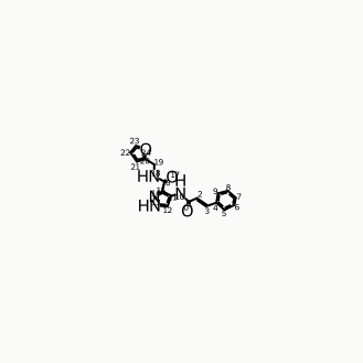 O=C(C=Cc1ccccc1)Nc1c[nH]nc1C(=O)NCc1ccco1